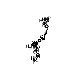 CN(CCCOCCCc1ccc2c(c1)n(C)c(=O)n2C1CCC(=O)NC1O)C(=O)c1ccc(-n2cc(NC(=O)c3coc(-c4ccnc(NCC(F)(F)F)c4)n3)c(C(N)=O)n2)cc1